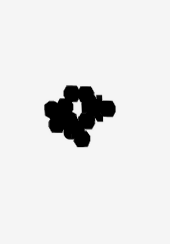 c1ccc(-c2nc(-c3ccccc3)nc(-c3cccc(-c4cccc(-c5ccc(C6(c7ccc8nc(-c9ccccc9)oc8c7)c7ccccc7-c7ccccc76)cc5)c4)c3)n2)cc1